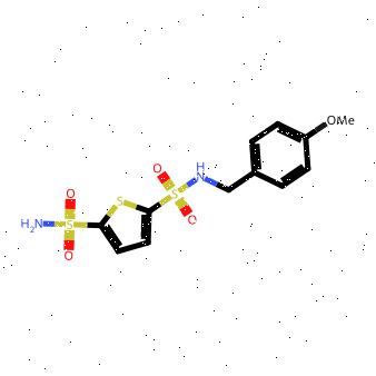 COc1ccc(CNS(=O)(=O)c2ccc(S(N)(=O)=O)s2)cc1